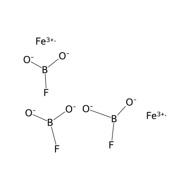 [Fe+3].[Fe+3].[O-]B([O-])F.[O-]B([O-])F.[O-]B([O-])F